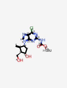 C=C1[C@H](CO)[C@@H](O)C[C@@H]1n1cnc2c(Cl)nc(NC(=O)OC(C)(C)C)nc21